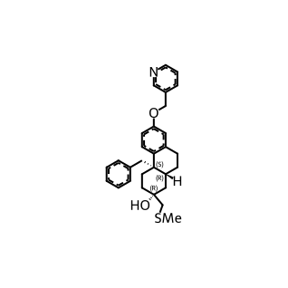 CSC[C@@]1(O)CC[C@@]2(Cc3ccccc3)c3ccc(OCc4cccnc4)cc3CC[C@@H]2C1